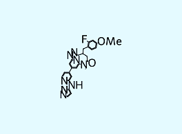 COc1ccc(CC2CC(=O)N(C)c3cc(-c4ccnc(Nc5ccnn5C)c4)cc4nnc2n34)c(F)c1